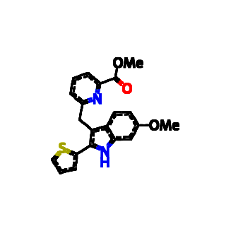 COC(=O)c1cccc(Cc2c(-c3cccs3)[nH]c3cc(OC)ccc23)n1